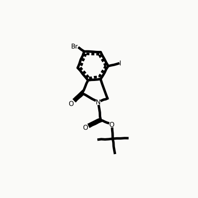 CC(C)(C)OC(=O)N1Cc2c(I)cc(Br)cc2C1=O